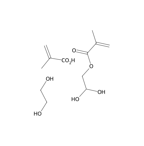 C=C(C)C(=O)O.C=C(C)C(=O)OCC(O)O.OCCO